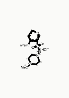 CCCCCc1ccccc1S(=O)(=O)NN1CCN(OC)CC1.Cl